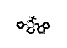 O=C(N(Cc1ccnc2ccccc12)N1CCCC[C@@H]1Cc1ccccc1)C(F)(F)F